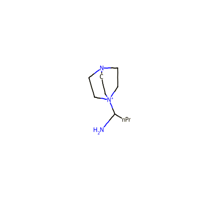 CCCC(N)[N+]12CCN(CC1)CC2